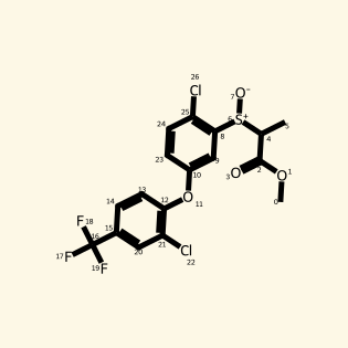 COC(=O)C(C)[S+]([O-])c1cc(Oc2ccc(C(F)(F)F)cc2Cl)ccc1Cl